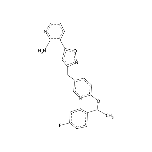 CC(Oc1ccc(Cc2cc(-c3cccnc3N)on2)cn1)c1ccc(F)cc1